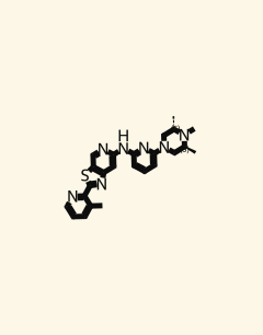 Cc1cccnc1-c1nc2cc(Nc3cccc(N4C[C@H](C)N(C)[C@@H](C)C4)n3)ncc2s1